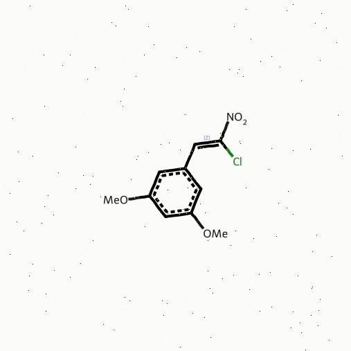 COc1cc(/C=C(\Cl)[N+](=O)[O-])cc(OC)c1